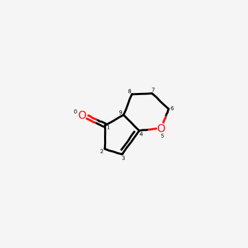 O=C1CC=C2OCCCC12